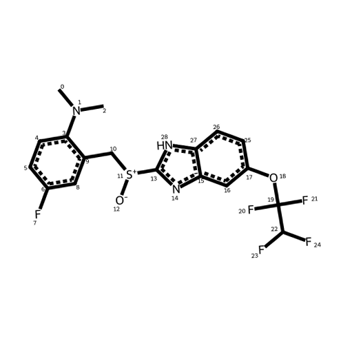 CN(C)c1ccc(F)cc1C[S+]([O-])c1nc2cc(OC(F)(F)C(F)F)ccc2[nH]1